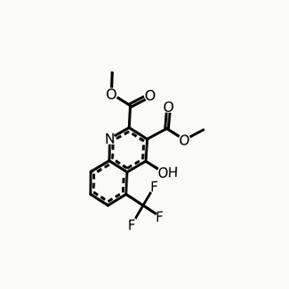 COC(=O)c1nc2cccc(C(F)(F)F)c2c(O)c1C(=O)OC